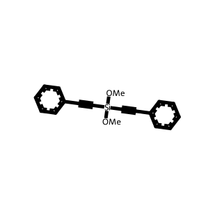 CO[Si](C#Cc1ccccc1)(C#Cc1ccccc1)OC